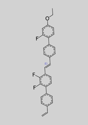 C=Cc1ccc(-c2ccc(/C=C/c3ccc(-c4ccc(OCC)cc4F)cc3)c(F)c2F)cc1